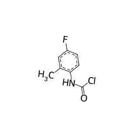 Cc1cc(F)ccc1NC(=O)Cl